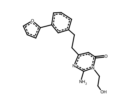 Nc1nc(CCc2cccc(-c3ccco3)c2)cc(=O)n1CCO